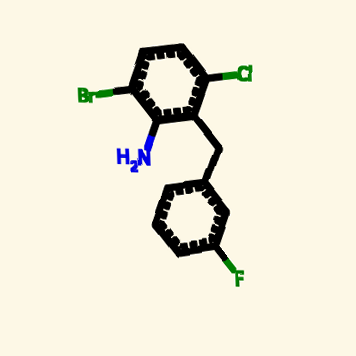 Nc1c(Br)ccc(Cl)c1Cc1cccc(F)c1